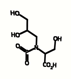 O=C(O)C(CO)N(CC(O)CO)P(=O)=O